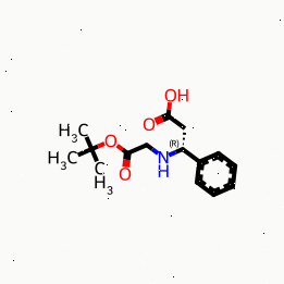 CC(C)(C)OC(=O)CN[C@H](CC(=O)O)c1ccccc1